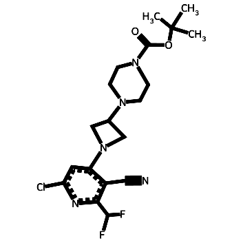 CC(C)(C)OC(=O)N1CCN(C2CN(c3cc(Cl)nc(C(F)F)c3C#N)C2)CC1